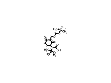 CC(C)(C)N(C(=O)O)C1CCC(=O)N(COCC[Si](C)(C)C)C1=O